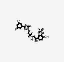 Cc1nc(-c2cc(F)cc(F)c2)nn1CCC(C)(C)NCC(O)c1ccc(O)c(NS(C)(=O)=O)c1